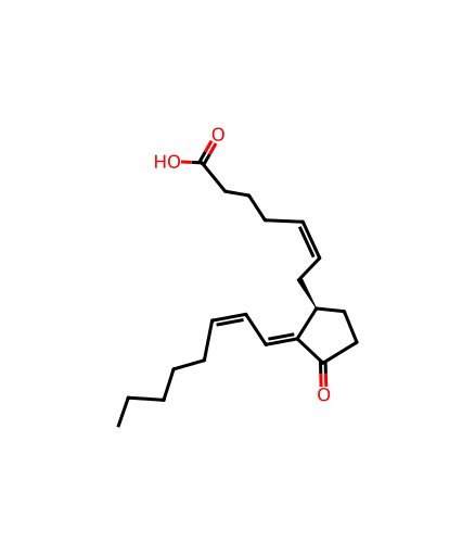 CCCCC/C=C\C=C1\C(=O)CC[C@@H]1C/C=C\CCCC(=O)O